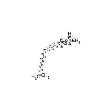 CC(C)CCCCCCCCCC/C=C\CCCCCCCC(=O)OCCC(C)C